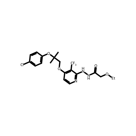 CCOCC(=O)NNc1nccc(OCC(C)(C)Oc2ccc(Cl)cc2)c1C(F)(F)F